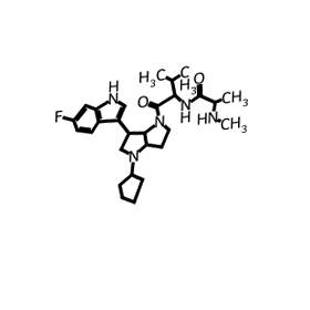 CNC(C)C(=O)NC(C(=O)N1CCC2C1C(c1c[nH]c3cc(F)ccc13)CN2C1CCCC1)C(C)C